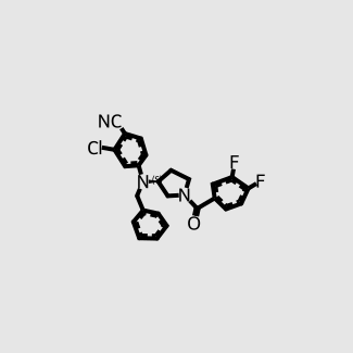 N#Cc1ccc(N(Cc2ccccc2)[C@H]2CCN(C(=O)c3ccc(F)c(F)c3)C2)cc1Cl